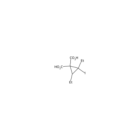 CCC1C(I)(CC)C1(C(=O)O)C(=O)O